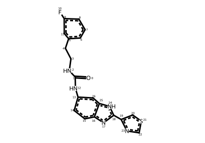 O=C(NCCc1cccc(F)c1)Nc1ccc2nc(-c3cscn3)[nH]c2c1